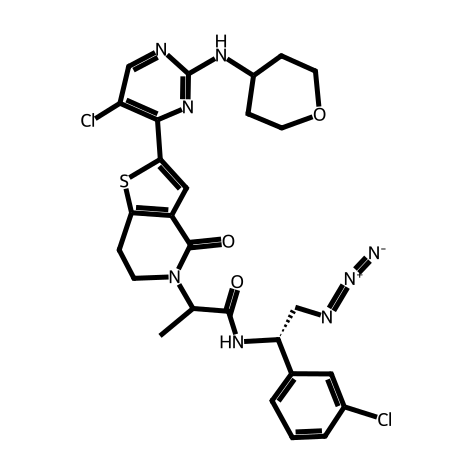 CC(C(=O)N[C@H](CN=[N+]=[N-])c1cccc(Cl)c1)N1CCc2sc(-c3nc(NC4CCOCC4)ncc3Cl)cc2C1=O